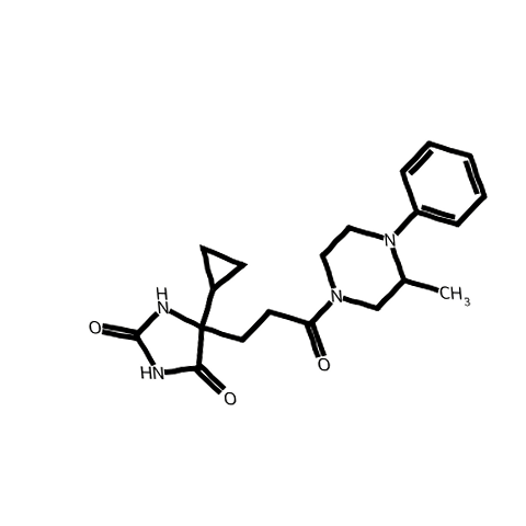 CC1CN(C(=O)CCC2(C3CC3)NC(=O)NC2=O)CCN1c1ccccc1